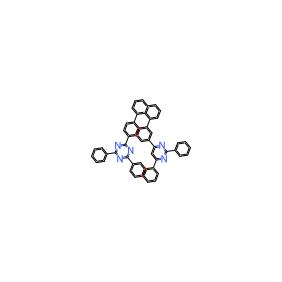 c1ccc(-c2cc(-c3cccc(-c4cccc5cccc(-c6ccc(-c7nc(-c8ccccc8)nc(-c8ccccc8)n7)cc6)c45)c3)nc(-c3ccccc3)n2)cc1